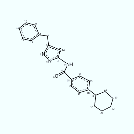 O=C(Nc1nnc(Cc2ccccc2)s1)c1ccc(C2CC[C]CC2)cc1